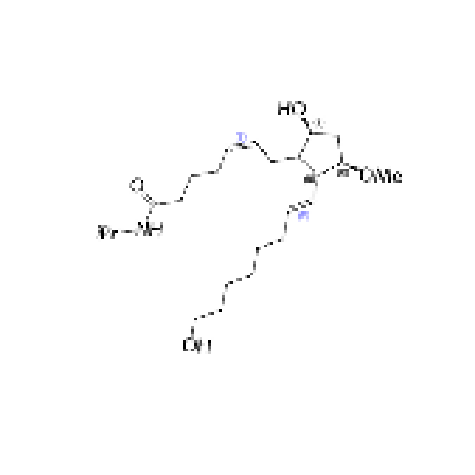 CO[C@@H]1C[C@H](O)C(C/C=C\CCCC(=O)NC(C)C)[C@H]1/C=C/CCCCCCO